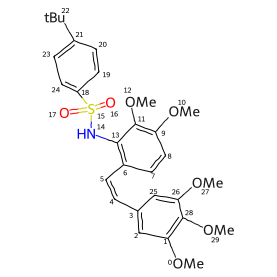 COc1cc(/C=C\c2ccc(OC)c(OC)c2NS(=O)(=O)c2ccc(C(C)(C)C)cc2)cc(OC)c1OC